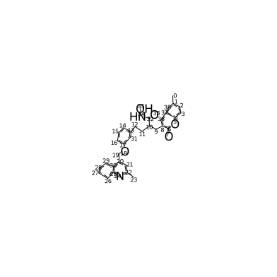 Cc1ccc2oc(=O)c(CC(CCc3cccc(OCc4cc(C)nc5ccccc45)c3)C(=O)NO)cc2c1